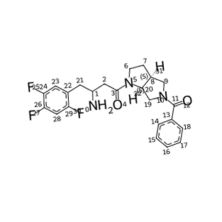 NC(CC(=O)N1CC[C@H]2CN(C(=O)c3ccccc3)C[C@H]21)Cc1cc(F)c(F)cc1F